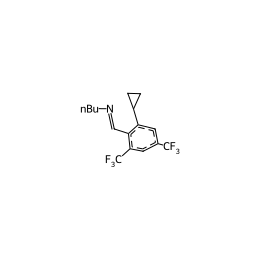 CCCCN=Cc1c(C2CC2)cc(C(F)(F)F)cc1C(F)(F)F